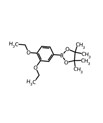 CCOc1ccc(B2OC(C)(C)C(C)(C)O2)cc1OCC